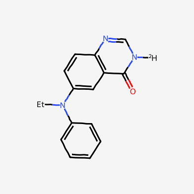 [2H]n1cnc2ccc(N(CC)c3ccccc3)cc2c1=O